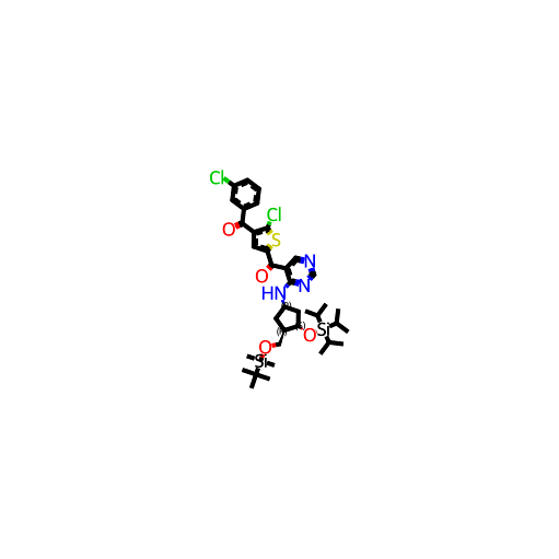 CC(C)[Si](O[C@H]1C[C@H](Nc2ncncc2C(=O)c2cc(C(=O)c3cccc(Cl)c3)c(Cl)s2)C[C@@H]1CO[Si](C)(C)C(C)(C)C)(C(C)C)C(C)C